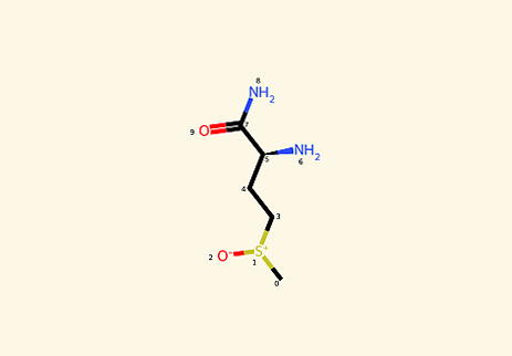 C[S+]([O-])CC[C@H](N)C(N)=O